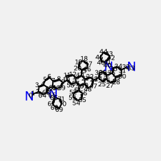 N#Cc1cc2ccc3cc(-c4ccc5c(-c6ccccc6)c6cc(-c7cc8ccc9cc(C#N)cc%10c9c8c(c7)n%10-c7ccccc7)ccc6c(-c6ccccc6)c5c4)cc4c3c2c(c1)n4-c1ccccc1